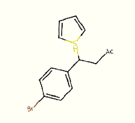 CC(=O)CC(c1ccc(Br)cc1)[SH]1C=CC=C1